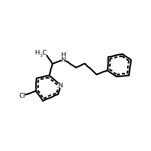 CC(NCCCc1ccccc1)c1cc(Cl)ccn1